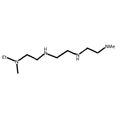 [CH2]CN(C)CCNCCNCCN[CH2]